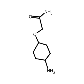 NC(=O)COC1CCC(N)CC1